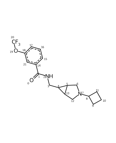 O=C(NCC1C2CN(C3CCC3)CC12)c1cccc(OC(F)(F)F)c1